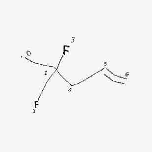 [CH2]C(F)(F)CC=C